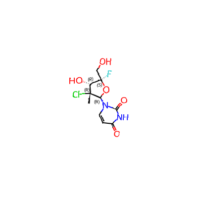 C[C@]1(Cl)[C@H](n2ccc(=O)[nH]c2=O)O[C@](F)(CO)[C@H]1O